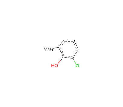 CNc1cccc(Cl)c1O